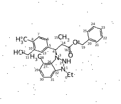 CCN1NN([C@@H](c2ccc(C)c(CO)c2)[C@H](C)C(=O)OCc2ccccc2)c2c(C)cccc21